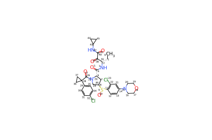 CC[C@H](NC(=O)[C@@H]1C[C@@H]([S+]([O-])c2ccc(N3CCOCC3)cc2Cl)CN1C(=O)C1(c2ccc(Cl)cc2)CC1)C(=O)C(=O)NC1CC1